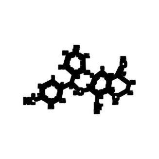 N#Cc1ccc(C(Oc2ccc3c(c2Br)OCCC3=O)c2ccncc2)cc1